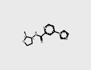 C[C@@H]1OCC[C@@H]1NC(=O)c1cc(-n2ccnc2)ccn1